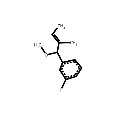 C/C=C(\C)C(OC)c1cccc(F)c1